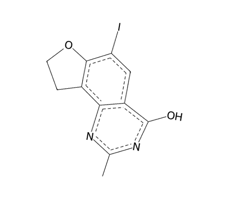 Cc1nc(O)c2cc(I)c3c(c2n1)CCO3